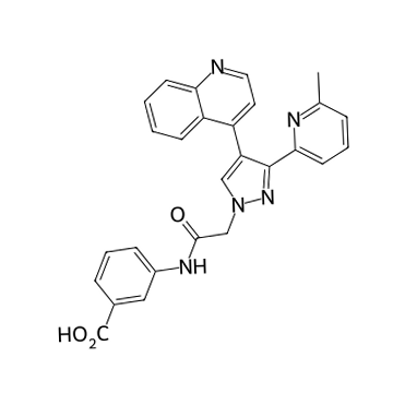 Cc1cccc(-c2nn(CC(=O)Nc3cccc(C(=O)O)c3)cc2-c2ccnc3ccccc23)n1